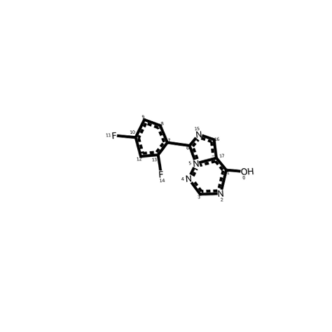 Oc1ncnn2c(-c3ccc(F)cc3F)ncc12